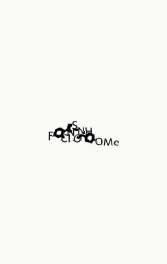 COc1ccc(C(=O)Nc2nc(-c3ccc(F)cc3Cl)cs2)cc1